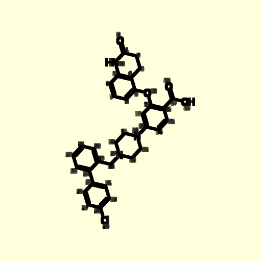 O=C1CCc2c(cccc2Oc2cc(N3CCN(Cc4ccccc4-c4ccc(Cl)cc4)CC3)ccc2C(=O)O)N1